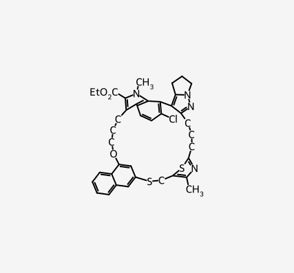 CCOC(=O)c1c2c3ccc(Cl)c(c3n1C)-c1c(nn3c1CCC3)CCCc1nc(C)c(s1)CSc1cc(c3ccccc3c1)OCCC2